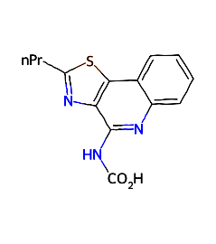 CCCc1nc2c(NC(=O)O)nc3ccccc3c2s1